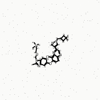 Cc1nc2cc(Oc3ccc4ncc(-c5cnn(CC6CC(F)(F)C6)c5)nc4c3Cl)ccc2n1COCC[Si](C)(C)C